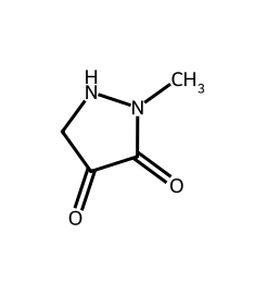 CN1NCC(=O)C1=O